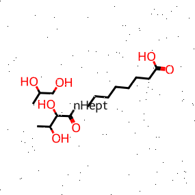 CC(O)CO.CCCCCCCC(=O)C(O)C(C)O.CCCCCCCC(=O)O